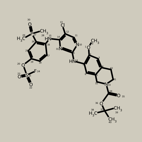 COc1cc2c(cc1Nc1ncc(Cl)c(Nc3ccc(OS(=O)(=O)F)cc3P(C)(C)=O)n1)CN(C(=O)OC(C)(C)C)CC2